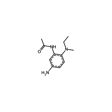 CCN(C)c1ccc(N)cc1NC(C)=O